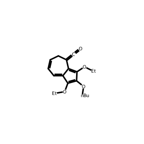 CCCCOC1=C(OCC)C2=CC=CCC(=C=O)C2=C1OCC